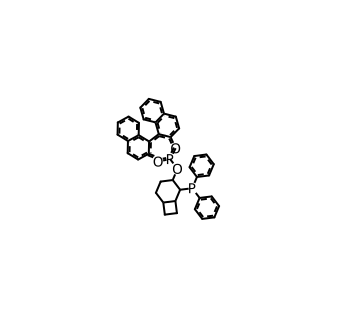 c1ccc(P(c2ccccc2)C2C(Op3oc4ccc5ccccc5c4c4c(ccc5ccccc54)o3)CCC3CCC32)cc1